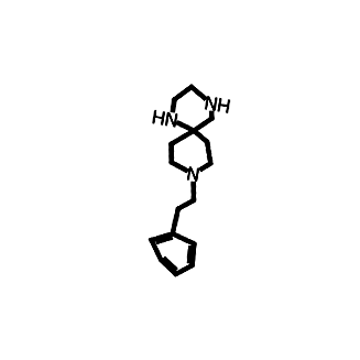 c1ccc(CCN2CCC3(CC2)CNCCN3)cc1